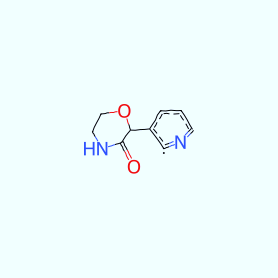 O=C1NCCOC1c1[c]nccc1